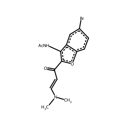 CC(=O)Nc1c(C(=O)C=CN(C)C)oc2ccc(Br)cc12